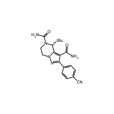 CC(C)(C)C1c2c(C(N)=O)c(-c3ccc(C#N)cc3)nn2CCN1C(N)=O